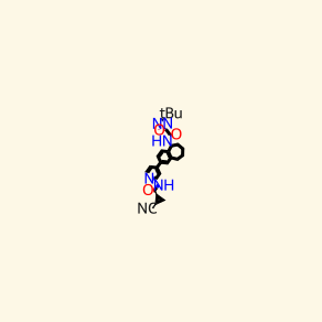 CC(C)(C)c1noc(C(=O)N[C@@H]2CCCCc3cc(-c4ccnc(NC(=O)[C@H]5C[C@H]5C#N)c4)ccc32)n1